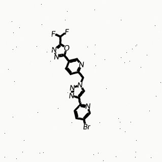 FC(F)c1nnc(-c2ccc(Cn3cc(-c4ccc(Br)cn4)nn3)nc2)o1